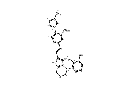 COc1cc(/C=C/c2nc3n(n2)CCC[C@H]3c2cccc(F)c2C)cnc1-n1cnc(C)c1